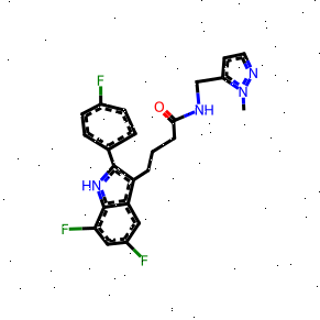 Cn1nccc1CNC(=O)CCCc1c(-c2ccc(F)cc2)[nH]c2c(F)cc(F)cc12